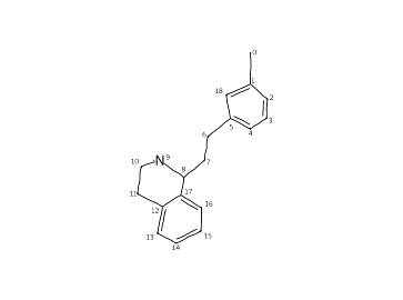 Cc1cccc(CCC2[N]CCc3ccccc32)c1